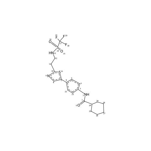 O=C(Nc1ccc(-c2cnc(CCNS(=O)(=O)C(F)(F)F)s2)cc1)C1CCCCC1